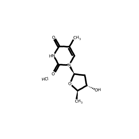 Cc1cn([C@H]2C[C@H](O)[C@@H](C)O2)c(=O)[nH]c1=O.Cl